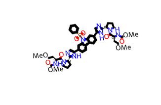 COCC[C@H](NC(=O)OC)C(=O)N1CCC[C@H]1c1ncc(-c2ccc3c4ccc(-c5cnc([C@@H]6CCCN6C(=O)[C@H](CCOC)NC(=O)OC)[nH]5)cc4n(S(=O)(=O)c4ccccc4)c3c2)[nH]1